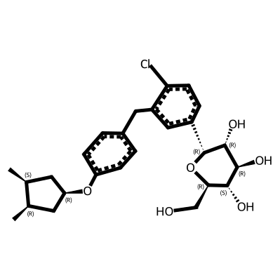 C[C@@H]1C[C@H](Oc2ccc(Cc3cc([C@H]4O[C@H](CO)[C@@H](O)[C@H](O)[C@H]4O)ccc3Cl)cc2)C[C@@H]1C